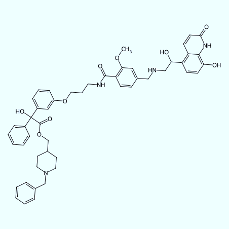 COc1cc(CNCC(O)c2ccc(O)c3[nH]c(=O)ccc23)ccc1C(=O)NCCCOc1cccc(C(O)(C(=O)OCC2CCN(Cc3ccccc3)CC2)c2ccccc2)c1